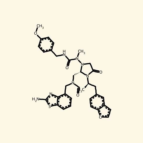 COc1ccc(CNC(=O)N(C)N2CC(=O)N([C@H](C)Cc3ccc4occc4c3)[C@@H]2CN(C=O)Cc2cccc3sc(N)nc23)cc1